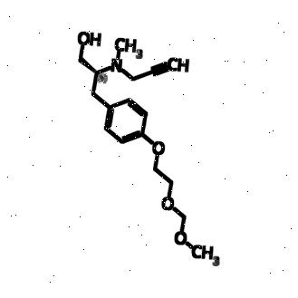 C#CCN(C)[C@H](CO)Cc1ccc(OCCOCOC)cc1